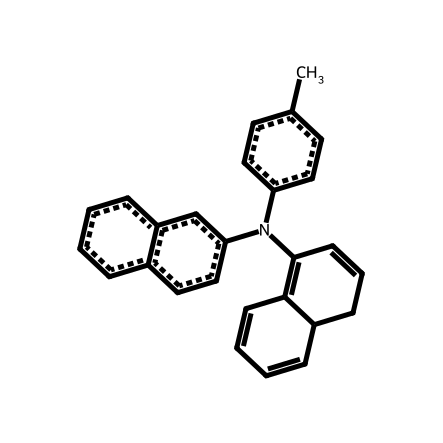 Cc1ccc(N(C2=C3C=CC=CC3CC=C2)c2ccc3ccccc3c2)cc1